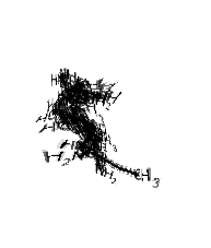 CCCCCCCCCCCCCCCC(=O)N[C@@H](CCCCN)C(=O)N[C@@H](CCCCN)C(=O)N[C@@H](CC(C)C)C(=O)N[C@@H](CCCNC(=N)N)C(=O)N[C@@H](CO)C(=O)N[C@@H](CCSC)C(=O)N[C@H](C(=O)N[C@@H](CC(=O)O)C(=O)N[C@@H](C)C(=O)N[C@@H](Cc1ccc(O)cc1)C(=O)N[C@@H](CCCNC(=N)N)C(=O)N[C@@H](CC(C)C)C(=O)N[C@@H](Cc1cc[nH]c1)C(N)=O)[C@@H](C)O